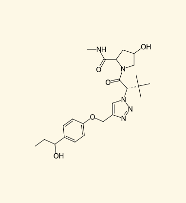 CCC(O)c1ccc(OCc2cn([C@H](C(=O)N3CC(O)CC3C(=O)NC)C(C)(C)C)nn2)cc1